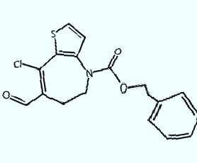 O=CC1=C(Cl)c2sccc2N(C(=O)OCc2ccccc2)CC1